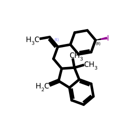 C=C1c2ccccc2C(C)(C)C1C/C(=C\C)C1C=C[C@H](I)CC1